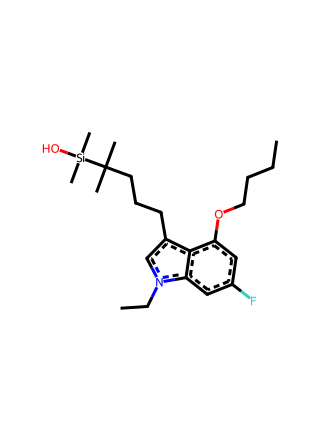 CCCCOc1cc(F)cc2c1c(CCCC(C)(C)[Si](C)(C)O)cn2CC